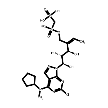 C/C=C(/COP(=O)(O)CP(=O)(O)O)[C@@H](O)[C@@H](O)[C@@H](O)n1ncc2c(N(C)C3CCCC3)nc(Cl)nc21